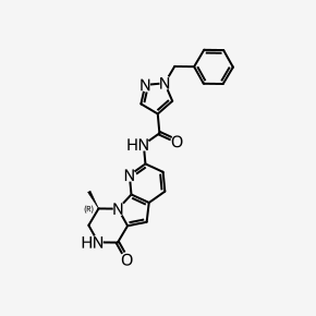 C[C@@H]1CNC(=O)c2cc3ccc(NC(=O)c4cnn(Cc5ccccc5)c4)nc3n21